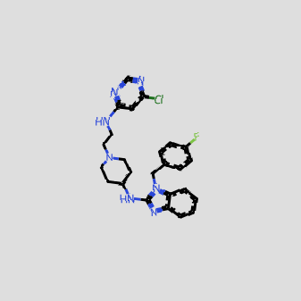 Fc1ccc(Cn2c(NC3CCN(CCNc4cc(Cl)ncn4)CC3)nc3ccccc32)cc1